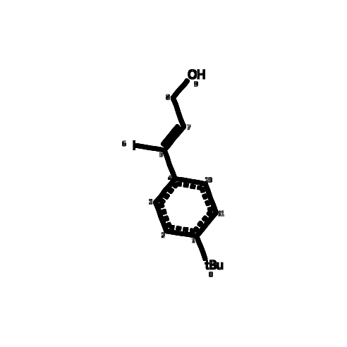 CC(C)(C)c1ccc(C(I)=CCO)cc1